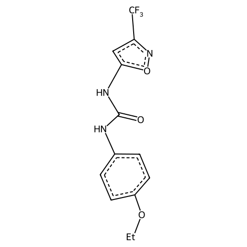 CCOc1ccc(NC(=O)Nc2cc(C(F)(F)F)no2)cc1